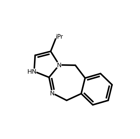 CC(C)C1=CNC2=NCc3ccccc3CN12